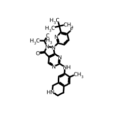 Cc1cc2c(cc1Nc1ncc3c(=O)n(C(C)C)n(-c4ccc(F)c(C(C)(C)C)n4)c3n1)CNCC2